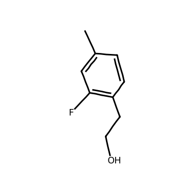 Cc1ccc(CCO)c(F)c1